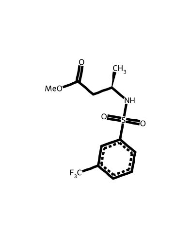 COC(=O)C[C@@H](C)NS(=O)(=O)c1cccc(C(F)(F)F)c1